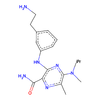 Cc1nc(C(N)=O)c(Nc2cccc(CCN)c2)nc1N(C)C(C)C